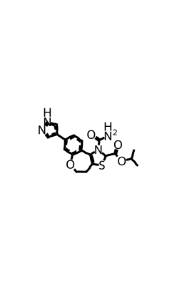 CC(C)OC(=O)C1SC2=C(c3ccc(-c4cn[nH]c4)cc3OCC2)N1C(N)=O